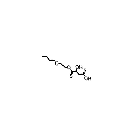 CCCCOCCOC(=S)C(O)CC(O)=S